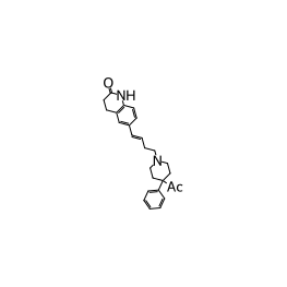 CC(=O)C1(c2ccccc2)CCN(CC/C=C/c2ccc3c(c2)CCC(=O)N3)CC1